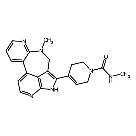 CNC(=O)N1CC=C(c2[nH]c3nccc4c3c2CN(C)c2ncccc2-4)CC1